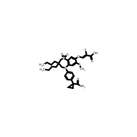 CCCCC1(CCCC)CN(c2ccc(C3(C(N)=O)CC3)cc2)c2cc(SC)c(O/C=C(\F)C(=O)O)cc2S(=O)(=O)C1